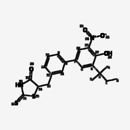 CCC(C)(C)c1cc(-c2cccc(CC3SC(=S)NC3=O)c2)cc([N+](=O)[O-])c1O